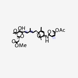 COC(=O)C[C@@H]1C[C@@]2(CO2)[C@H](O)[C@@H](/C=C/C(C)=C/C[C@@H]2O[C@H](C)[C@H](NC(=O)/C=C\[C@H](C)OC(C)=O)C=C2C)O1